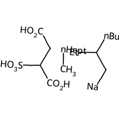 CCCCC(CC)[CH2][Na].CCCCCCCC.O=C(O)CC(C(=O)O)S(=O)(=O)O